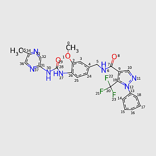 COc1cc(CNC(=O)c2cnn(-c3ccccc3)c2C(F)(F)F)ccc1NC(=O)Nc1cnc(C)cn1